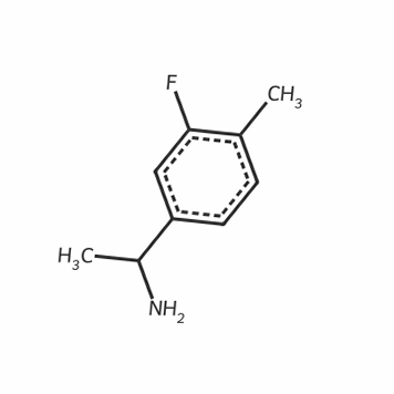 Cc1ccc(C(C)N)cc1F